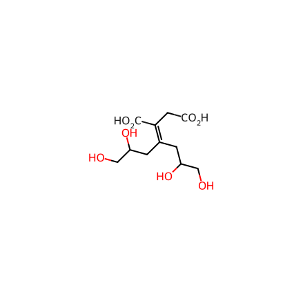 O=C(O)CC(C(=O)O)=C(CC(O)CO)CC(O)CO